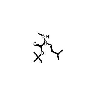 CNN(C=CC(C)C)C(=O)OC(C)(C)C